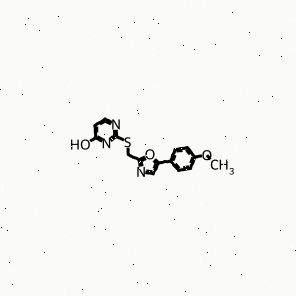 COc1ccc(-c2cnc(CSc3nccc(O)n3)o2)cc1